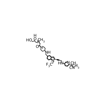 CN(CC(=O)N1CCC(NCc2ccc3c(c2)cc(C#CCNc2ccc(C(C)(C)C#N)nc2)n3CC(F)(F)F)CC1)CC(O)CO